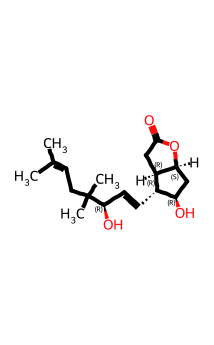 CC(C)=CCC(C)(C)[C@H](O)C=C[C@@H]1[C@H]2CC(=O)O[C@H]2C[C@H]1O